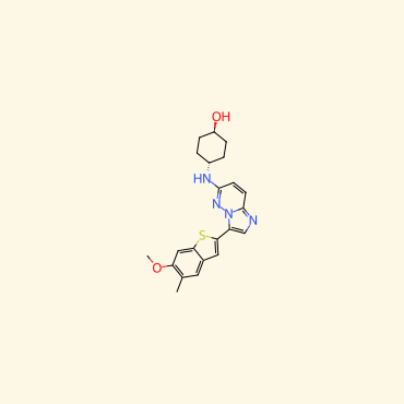 COc1cc2sc(-c3cnc4ccc(N[C@H]5CC[C@H](O)CC5)nn34)cc2cc1C